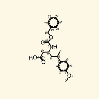 COc1ccc(C(C)C[C@@H](CC(=O)O)NC(=O)OCc2ccccc2)cc1